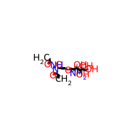 C=CC(=O)NCN(C(=O)C=C)C(=O)C=COC[C@H](N)[C@@H](O)[C@H](O)[C@H](O)CO